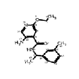 CCOc1cc(C(=O)NC(C)c2cccc(C)c2)c(N)cn1